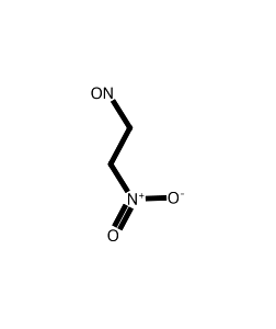 O=NCC[N+](=O)[O-]